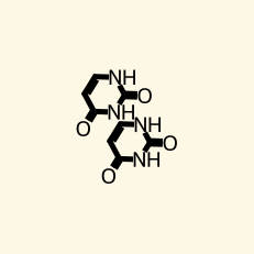 O=c1cc[nH]c(=O)[nH]1.O=c1cc[nH]c(=O)[nH]1